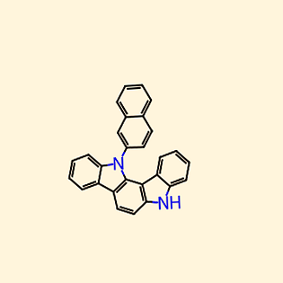 c1ccc2cc(-n3c4ccccc4c4ccc5[nH]c6ccccc6c5c43)ccc2c1